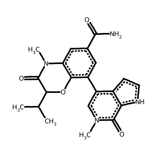 CC(C)C1Oc2c(-c3cn(C)c(=O)c4[nH]ccc34)cc(C(N)=O)cc2N(C)C1=O